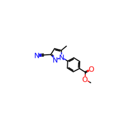 COC(=O)c1ccc(-n2nc(C#N)cc2C)cc1